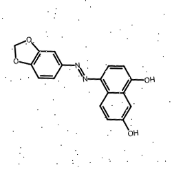 Oc1ccc2c(/N=N/c3ccc4c(c3)OCO4)ccc(O)c2c1